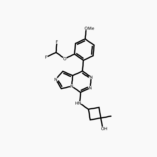 COc1ccc(-c2nnc(NC3CC(C)(O)C3)n3cncc23)c(OC(F)F)c1